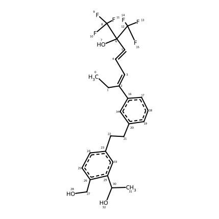 CC/C(=C\C=C\C(O)(C(F)(F)F)C(F)(F)F)c1cccc(CCc2ccc(CO)c(C(C)O)c2)c1